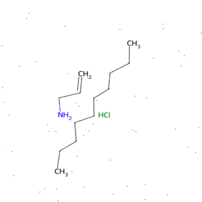 C=CCN.CCCCCCCCCC.Cl